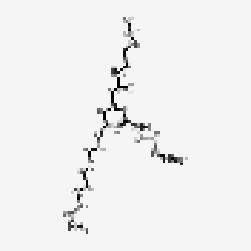 [N-]=[N+]=NCCNC(=O)CN(CCOCCOCCOCCN)CC(=O)NCCN=[N+]=[N-]